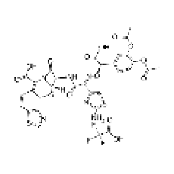 CC(=O)Oc1ccc([C@@H](ON=C(C(=O)N[C@@H]2C(=O)N3C(C(=O)O)=C(/C=C\c4cncs4)CS[C@@H]23)c2csc(N)n2)C(=O)O)cc1OC(C)=O.O=C(O)C(F)(F)F